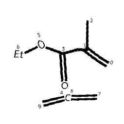 C=C(C)C(=O)OCC.C=C=C